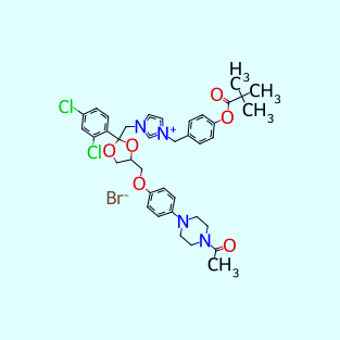 CC(=O)N1CCN(c2ccc(OCC3COC(Cn4cc[n+](Cc5ccc(OC(=O)C(C)(C)C)cc5)c4)(c4ccc(Cl)cc4Cl)O3)cc2)CC1.[Br-]